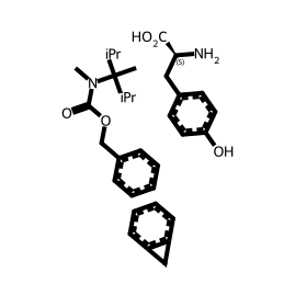 CC(C)C(C)(C(C)C)N(C)C(=O)OCc1ccccc1.N[C@@H](Cc1ccc(O)cc1)C(=O)O.c1ccc2c(c1)C2